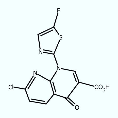 O=C(O)c1cn(-c2ncc(F)s2)c2nc(Cl)ccc2c1=O